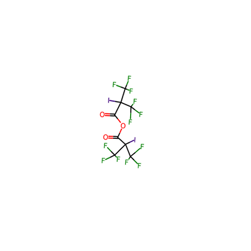 O=C(OC(=O)C(I)(C(F)(F)F)C(F)(F)F)C(I)(C(F)(F)F)C(F)(F)F